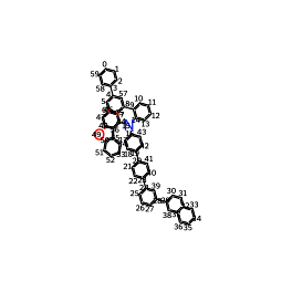 c1ccc(-c2cccc(-c3ccccc3N(c3ccc(-c4ccc(-c5cccc(-c6ccc7ccccc7c6)c5)cc4)cc3)c3cccc4oc5ccccc5c34)c2)cc1